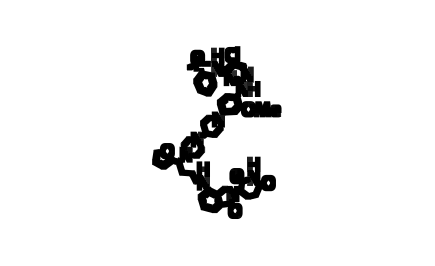 COc1cc(N2CCC(N3CCN(C(CCCNc4cccc5c4CN(C4CCC(=O)NC4=O)C5=O)c4ccco4)CC3)CC2)ccc1Nc1ncc(Cl)c(Nc2ccccc2P(C)(C)=O)n1